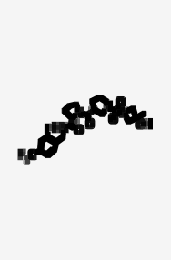 CC1(O)CN(S(=O)(=O)N2CCC[C@H](C(=O)N3CCC[C@@H]3C(=O)NCc3ccc(C(F)(F)F)cc3F)C2)C1